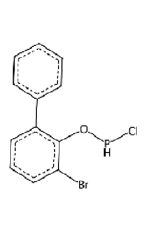 ClPOc1c(Br)cccc1-c1ccccc1